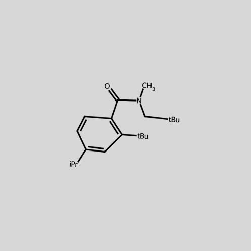 CC(C)c1ccc(C(=O)N(C)CC(C)(C)C)c(C(C)(C)C)c1